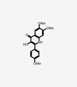 COc1ccc(-c2[nH]c3cc(OC)c(OC)cc3c(=O)c2O)cc1